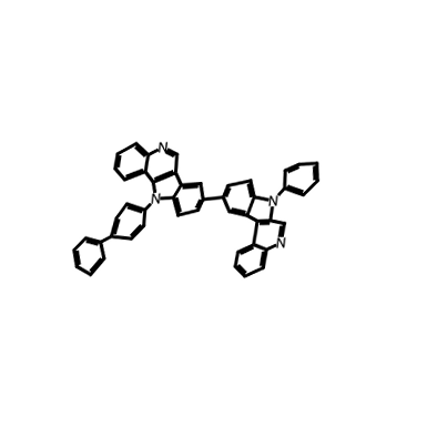 c1ccc(-c2ccc(-n3c4ccc(-c5ccc6c(c5)c5c7ccccc7ncc5n6-c5ccccc5)cc4c4cnc5ccccc5c43)cc2)cc1